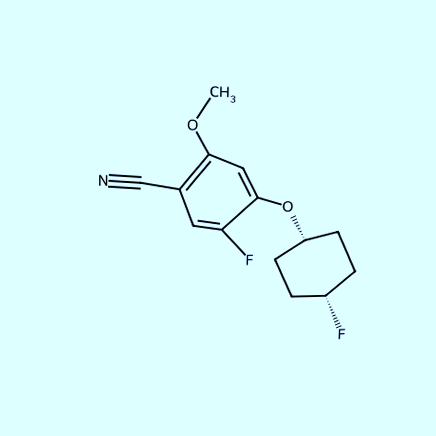 COc1cc(O[C@H]2CC[C@@H](F)CC2)c(F)cc1C#N